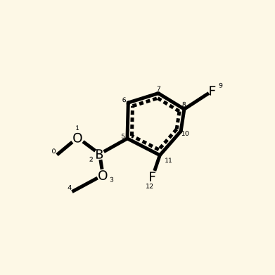 COB(OC)c1ccc(F)cc1F